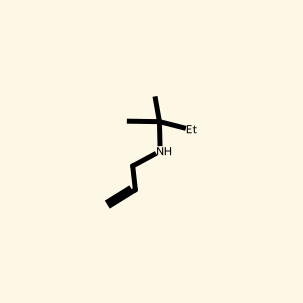 C=CCNC(C)(C)CC